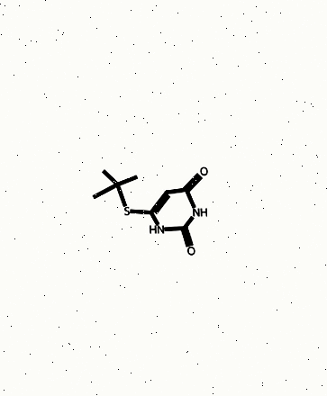 CC(C)(C)Sc1cc(=O)[nH]c(=O)[nH]1